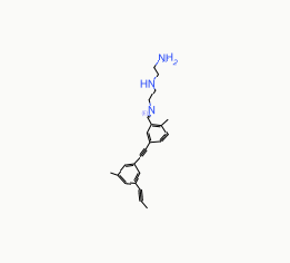 CC#Cc1cc(C)cc(C#Cc2ccc(C)c(/C=N/CCNCCN)c2)c1